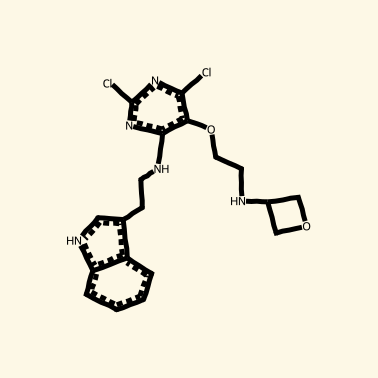 Clc1nc(Cl)c(OCCNC2COC2)c(NCCc2c[nH]c3ccccc23)n1